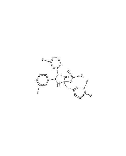 O=C(OC1(Cc2ccc(F)c(F)c2)NC(c2cccc(F)c2)C(c2cccc(F)c2)N1)C(F)(F)F